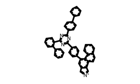 C1=[N+]=Cc2c1cc(-c1ccc(-c3nc(-c4ccc(-c5ccccc5)cc4)nc(-c4ccccc4-c4ccccc4)n3)cc1)c1c2ccc2ccccc21